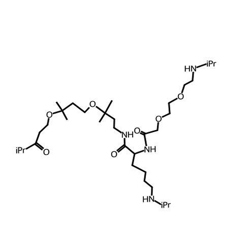 CC(C)NCCCCC(NC(=O)COCCOCCNC(C)C)C(=O)NCCC(C)(C)OCCC(C)(C)OCCC(=O)C(C)C